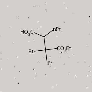 CCCC(C(=O)O)C(CC)(C(=O)OCC)C(C)C